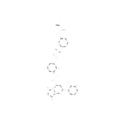 O=C(N1CCc2ccc(S(=O)(=O)NCc3cccc(CNc4cc(-c5ccccc5Cl)nc5c(Br)cnn45)c3)cc2C1)C(F)(F)F